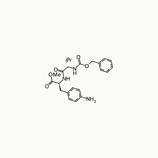 COC(=O)[C@H](Cc1ccc(N)cc1)NC(=O)[C@@H](NC(=O)OCc1ccccc1)C(C)C